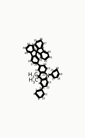 CC1(C)c2cc(-c3ccccc3)ccc2N(c2ccccc2)c2ccc(-c3ccc4c(c3)C3(c5ccccc5-c5ccccc53)c3ccccc3-4)cc21